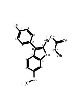 CC(=O)NBr.COc1ccc2c(-c3ccc(F)cc3)c(Br)sc2c1